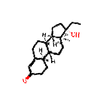 CC[C@]1(O)CC[C@H]2[C@@H]3CCC4=CC(=O)CC[C@@H]4[C@H]3CC[C@@]21C